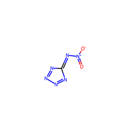 O=[N+]([O-])N=C1N=NN=N1